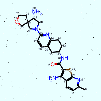 Cc1ccc2c(N)c(C(=O)N[C@H]3CCc4nc(N5C[C@@H](N)[C@]6(CCOC6)C5)ccc4C3)sc2n1